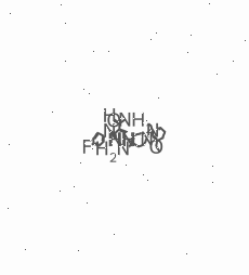 COC1=C(N2CCC(CN)(N/C=C(\C(=N)Nc3ccc(F)cc3)C(N)=O)CC2)N=CCC1